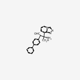 NC(C(=O)O)(c1cccn2cnnc12)C(C=O)c1ccc(-c2ccccc2)cc1